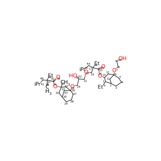 CCC1C2CCCC(OCCO)(C2)CC1OC(=O)C(CC)(COCC(O)COC12CCCC(CC(C)(OC(=O)C(C)(CC)CC(C)C)C1)C2)CC(C)C